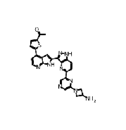 CC(=O)c1ccc(-c2ccnc3[nH]c(-c4n[nH]c5ccc(-c6cncc(N7CC(N)C7)n6)nc45)cc23)s1